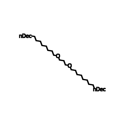 CCCCCCCCCCCCCCCCCCOCCCOCCCCCCCCCCCCCCCCCC